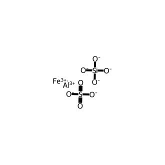 O=S(=O)([O-])[O-].[Al+3].[Fe+3].[O-][Si]([O-])([O-])[O-]